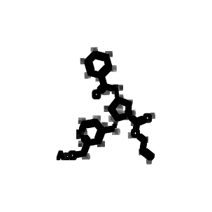 C=CCOC(=O)N1C[C@@H](SC(=O)c2ccccc2)C[C@H]1Cc1ccnc(COC(C)=O)c1